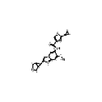 CCOc1cc2nc(C3C4COCC43)cn2cc1NC(=O)c1coc(C2CC2)n1